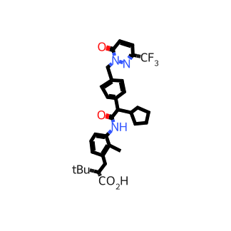 Cc1c(CC(C(=O)O)C(C)(C)C)cccc1NC(=O)C(c1ccc(Cn2nc(C(F)(F)F)ccc2=O)cc1)C1CCCC1